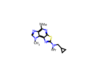 CCCN(CC1CC1)c1nc2c(nc(NC)c3ncn(C)c32)s1